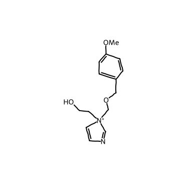 COc1ccc(COC[N+]2(CCO)C=CN=C2)cc1